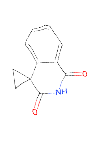 O=C1NC(=O)C2(CC2)c2ccccc21